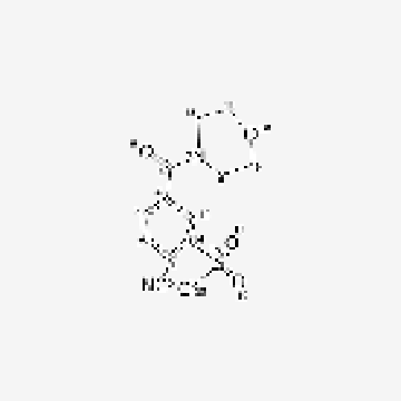 N#Cc1ccc(C(=O)N2CCOCC2)cc1S(=O)(=O)Cl